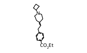 CCOC(=O)c1ccc(CC=C2CCN(C3CCC3)CC2)cc1